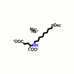 CCCCCCCCCCCCCCCCCCN[C@@H](CCC(=O)[O-])C(=O)[O-].[Na+].[Na+]